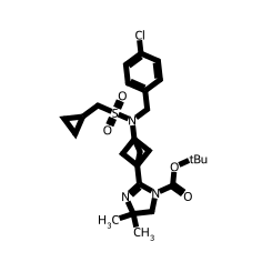 CC1(C)CN(C(=O)OC(C)(C)C)C(C23CC(N(Cc4ccc(Cl)cc4)S(=O)(=O)CC4CC4)(C2)C3)=N1